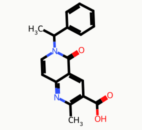 Cc1nc2ccn(C(C)c3ccccc3)c(=O)c2cc1C(=O)O